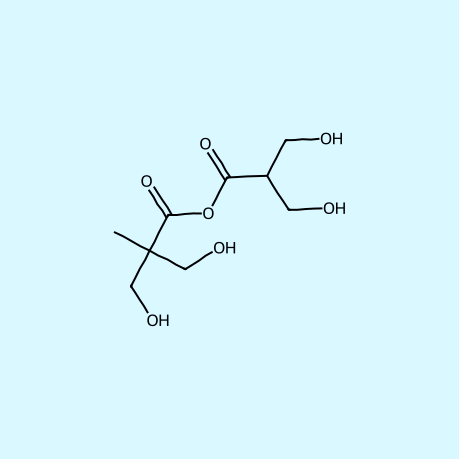 CC(CO)(CO)C(=O)OC(=O)C(CO)CO